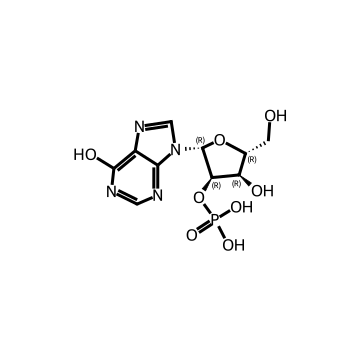 O=P(O)(O)O[C@@H]1[C@H](O)[C@@H](CO)O[C@H]1n1cnc2c(O)ncnc21